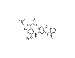 C=CC(=O)Nc1cc(Nc2cc(-c3cn(C)c4ccccc34)c(Cl)cn2)c(OC(C)C)nc1N(C)CCN(C)C